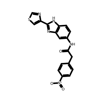 O=C(Cc1ccc([N+](=O)[O-])cc1)Nc1ccc2[nH]c(-c3cscn3)nc2c1